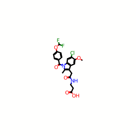 COc1cc2c(CC(=O)NCCC(=O)O)c(C)n(C(=O)c3ccc(OC(F)F)cc3)c2cc1Cl